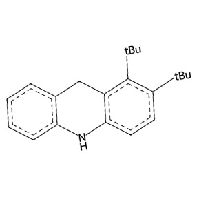 CC(C)(C)c1ccc2c(c1C(C)(C)C)Cc1ccccc1N2